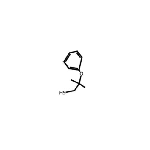 CC(C)(CS)Oc1c[c]ccc1